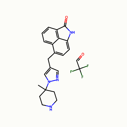 CC1(n2cc(Cc3ccc4c5c(cccc35)C(=O)N4)cn2)CCNCC1.O=CC(F)(F)F